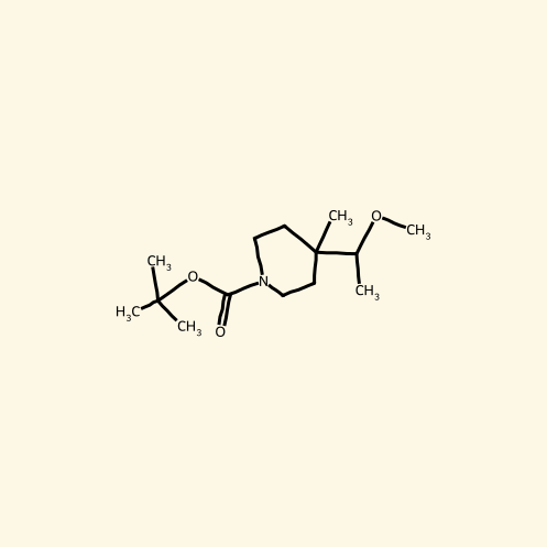 COC(C)C1(C)CCN(C(=O)OC(C)(C)C)CC1